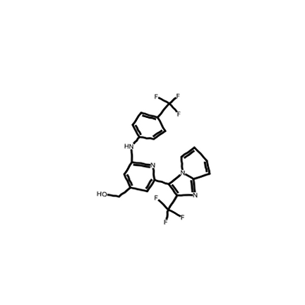 OCc1cc(Nc2ccc(C(F)(F)F)cc2)nc(-c2c(C(F)(F)F)nc3ccccn23)c1